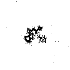 Cn1ncnc1COc1nn2c(-c3cccc(F)c3F)nnc2cc1C1CCC1